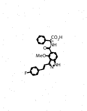 COc1c(C(=O)N[C@H](C(=O)O)c2ccccc2)ccc2[nH]nc(C=Cc3ccc(F)cc3)c12